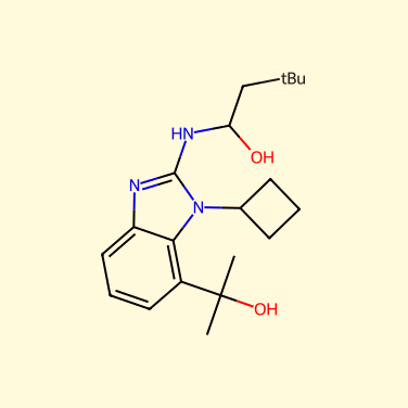 CC(C)(C)CC(O)Nc1nc2cccc(C(C)(C)O)c2n1C1CCC1